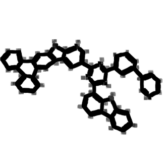 c1cncc(-c2cccc(-c3nc(-c4cnc5oc6cc7c8ccccc8c8ccccc8c7cc6c5c4)nc(-c4cccc5c4oc4ccccc45)n3)c2)c1